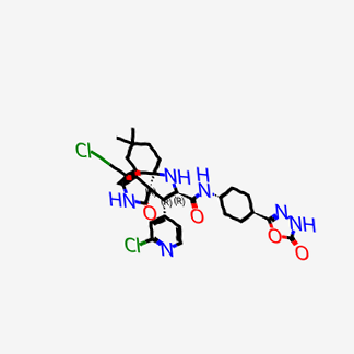 CC1(C)CCC2(CC1)N[C@@H](C(=O)N[C@H]1CC[C@H](c3n[nH]c(=O)o3)CC1)[C@H](c1ccnc(Cl)c1)[C@]21C(=O)Nc2cc(Cl)ccc21